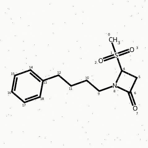 CS(=O)(=O)C1CC(=O)N1CCCCc1ccccc1